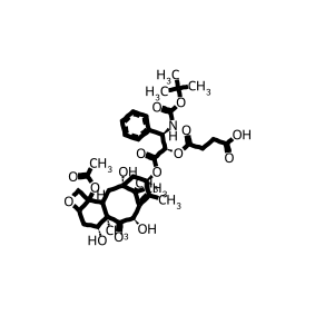 CC(=O)OC12COC1C[C@@H](O)[C@]1(C)C(=O)[C@@H](O)C3=C(C)[C@H](OC(=O)[C@@H](OC(=O)CCC(=O)O)[C@H](NC(=O)OC(C)(C)C)c4ccccc4)C[C@](O)(C[C@@H]21)C3(C)C